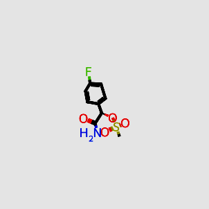 CS(=O)(=O)O[C@@H](C(N)=O)c1ccc(F)cc1